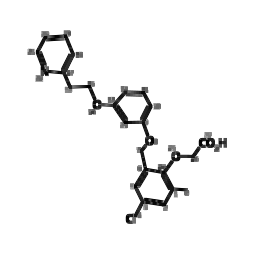 Cc1cc(Cl)cc(COc2cccc(OCCc3ccccn3)c2)c1OCC(=O)O